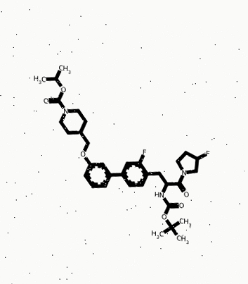 CC(C)OC(=O)N1CCC(COc2cccc(-c3ccc(CC(NC(=O)OC(C)(C)C)C(=O)N4CCC(F)C4)c(F)c3)c2)CC1